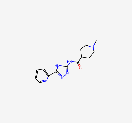 CN1CCC(C(=O)Nc2nnc(-c3ccccn3)[nH]2)CC1